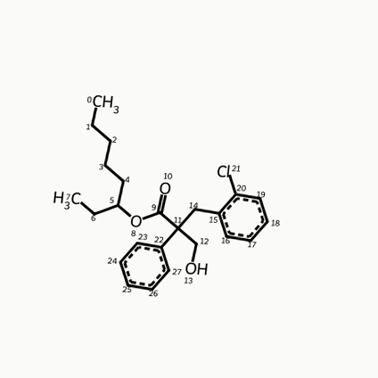 CCCCCC(CC)OC(=O)C(CO)(Cc1ccccc1Cl)c1ccccc1